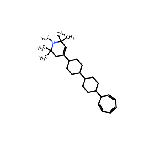 CN1C(C)(C)C=C(C2CCC(C3CCC(C4C=CC=CC=C4)CC3)CC2)CC1(C)C